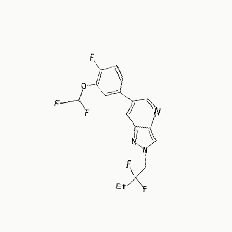 CCC(F)(F)Cn1cc2ncc(-c3ccc(F)c(OC(F)F)c3)cc2n1